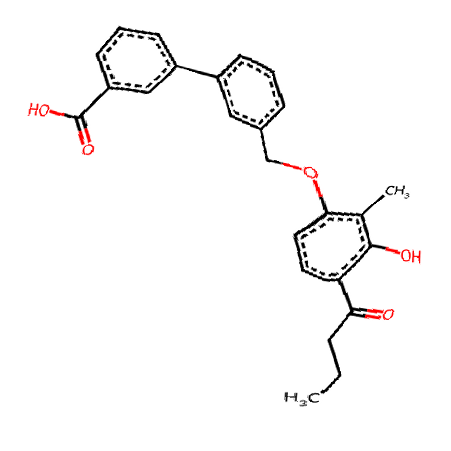 CCCC(=O)c1ccc(OCc2cccc(-c3cccc(C(=O)O)c3)c2)c(C)c1O